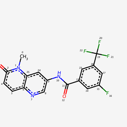 Cn1c(=O)ccc2ncc(NC(=O)c3cc(F)cc(C(F)(F)F)c3)cc21